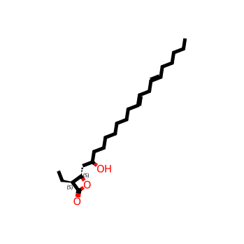 CCCCCC=CCC=CCCCCCCCC(O)C[C@@H]1OC(=O)[C@H]1CC